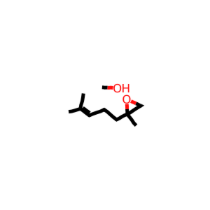 CC(C)=CCCC1(C)CO1.CO